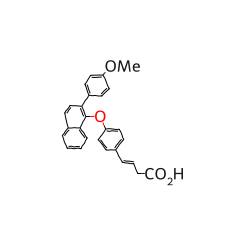 COc1ccc(-c2ccc3ccccc3c2Oc2ccc(/C=C/CC(=O)O)cc2)cc1